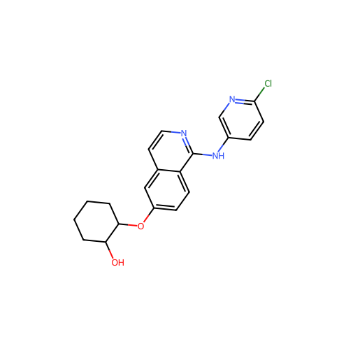 OC1CCCCC1Oc1ccc2c(Nc3ccc(Cl)nc3)nccc2c1